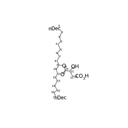 CCCCCCCCCCCCCCCCCCC(CCCCCCCCCCCCCCCCC)OC(=O)C(O)CC(=O)O